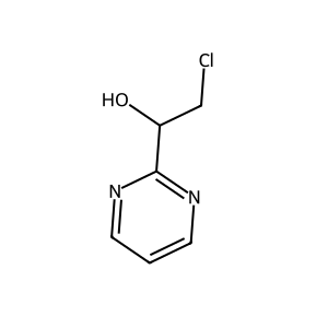 OC(CCl)c1ncccn1